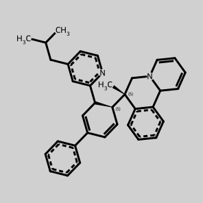 CC(C)Cc1ccnc(C2C=C(c3ccccc3)C=C[C@@H]2[C@]2(C)CN3C=CC=CC3c3ccccc32)c1